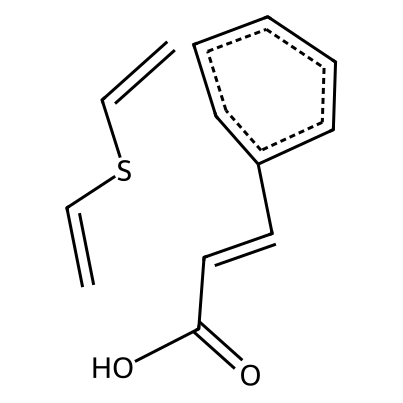 C=CSC=C.O=C(O)C=Cc1ccccc1